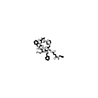 C#CCN(C)C(=O)CCC(=O)OCN(C(=O)CN1CCOCC1)[C@@H](CCc1ccccc1)C(=O)N[C@@H](CC(C)C)C(=O)N[C@@H](Cc1ccccc1)C(=O)N[C@@H](CC(C)C)C(=O)[C@]1(C)CO1